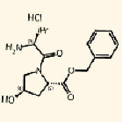 CC(C)[C@H](N)C(=O)N1C[C@H](O)C[C@H]1C(=O)OCc1ccccc1.Cl